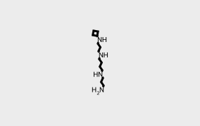 NCCCNCCCCNCCCNC1CCC1